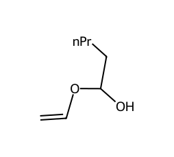 C=COC(O)CCCC